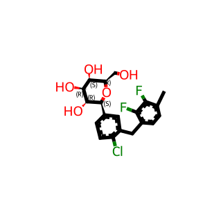 Cc1ccc(Cc2cc([C@@H]3O[C@H](CO)[C@@H](O)[C@H](O)[C@H]3O)ccc2Cl)c(F)c1F